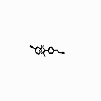 C#CCCc1ccc(-c2nc3cc(C#C)ccn3c2C)cc1